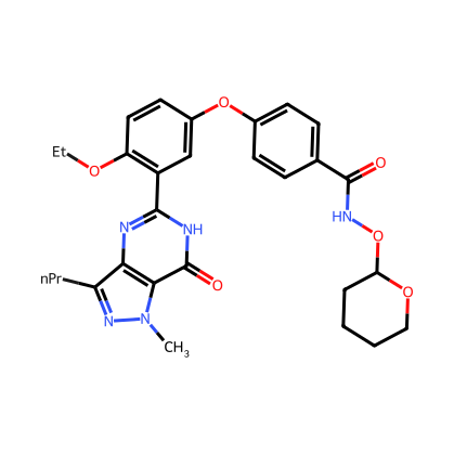 CCCc1nn(C)c2c(=O)[nH]c(-c3cc(Oc4ccc(C(=O)NOC5CCCCO5)cc4)ccc3OCC)nc12